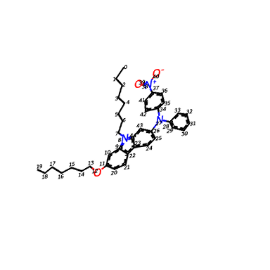 CCCCCCCCn1c2cc(OCCCCCCC)ccc2c2ccc(N(c3ccccc3)c3ccc([N+](=O)[O-])cc3)cc21